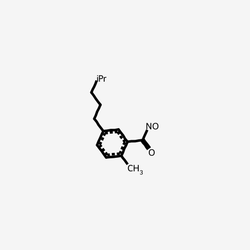 Cc1ccc(CCCC(C)C)cc1C(=O)N=O